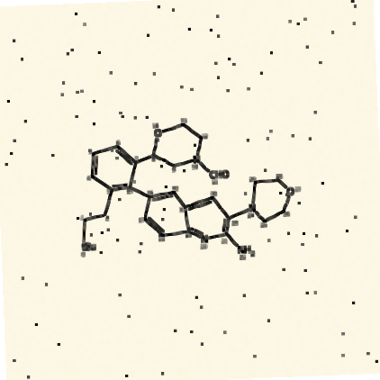 CC(C)(C)CCc1cccc(C2CN(C=O)CCO2)c1-c1ccc2nc(N)c(N3CCOCC3)cc2c1